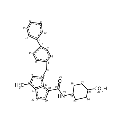 Cc1cn(Cc2ccc(-c3ccccc3)cc2)c2c(C(=O)NC3CCC(C(=O)O)CC3)csc12